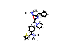 CN(C)c1oc(C(CC2CCC(C(c3cccs3)N(C)C)CC2)N2CCCCC2)nc1Cc1ccccc1